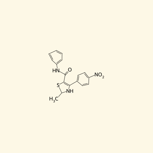 CC1NC(c2ccc([N+](=O)[O-])cc2)=C(C(=O)Nc2ccccc2)S1